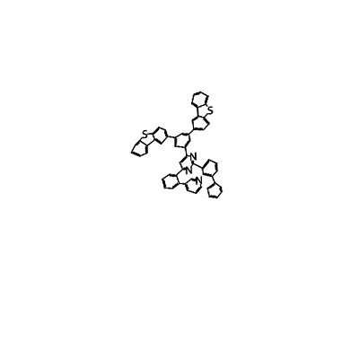 c1ccc(-c2cccc(-c3nc(-c4cc(-c5ccc6sc7ccccc7c6c5)cc(-c5ccc6sc7ccccc7c6c5)c4)cc(-c4ccccc4-c4cccnc4)n3)c2)cc1